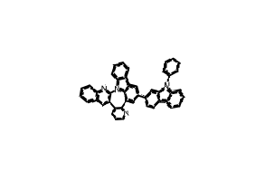 c1ccc(-n2c3ccccc3c3ccc(-c4cc5c6c(c4)c4ccccc4n6-c4nc6ccccc6cc4-c4cccnc4-5)cc32)cc1